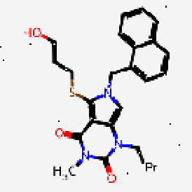 CC(C)Cn1c(=O)n(C)c(=O)c2c(SCCCO)n(Cc3cccc4ccccc34)cc21